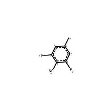 [CH2]c1cc(F)c(C#N)c(F)c1